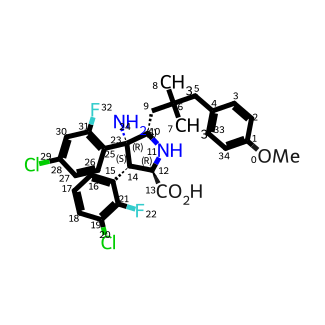 COc1ccc(CC(C)(C)C[C@@H]2N[C@@H](C(=O)O)[C@H](c3cccc(Cl)c3F)[C@@]2(N)c2ccc(Cl)cc2F)cc1